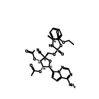 CCOC(=O)[C@H](C)NP(=O)(OC[C@@]1(C#N)O[C@@H](c2ccc3c(N)ncnn23)[C@H](OC(C)=O)[C@@H]1OC(C)=O)Oc1ccccc1